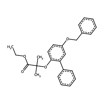 CCOC(=O)C(C)(C)Oc1ccc(OCc2ccccc2)cc1-c1ccccc1